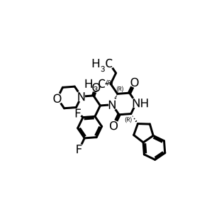 CC[C@@H](C)[C@@H]1C(=O)N[C@H](C2Cc3ccccc3C2)C(=O)N1C(C(=O)N1CCOCC1)c1ccc(F)cc1F